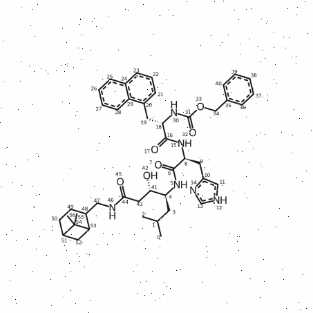 CC(C)C[C@H](NC(=O)[C@H](Cc1c[nH]cn1)NC(=O)[C@H](Cc1cccc2ccccc12)NC(=O)OCc1ccccc1)[C@@H](O)CC(=O)NCC1CCC2CC1C2(C)C